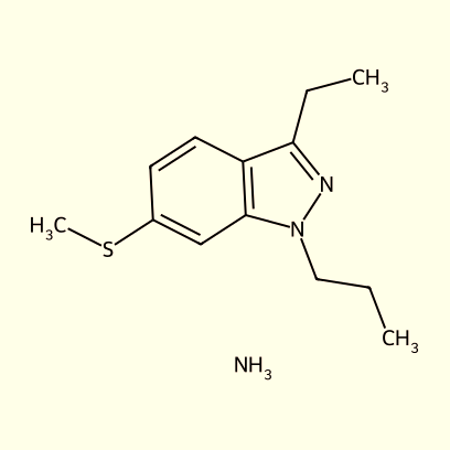 CCCn1nc(CC)c2ccc(SC)cc21.N